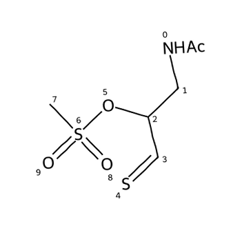 CC(=O)NCC(C=S)OS(C)(=O)=O